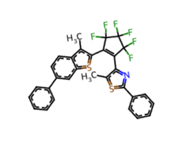 Cc1sc(-c2ccccc2)nc1C1=C(c2sc3cc(-c4ccccc4)ccc3c2C)C(F)(F)C(F)(F)C1(F)F